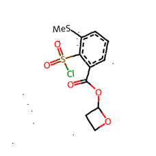 CSc1cccc(C(=O)OC2CCO2)c1S(=O)(=O)Cl